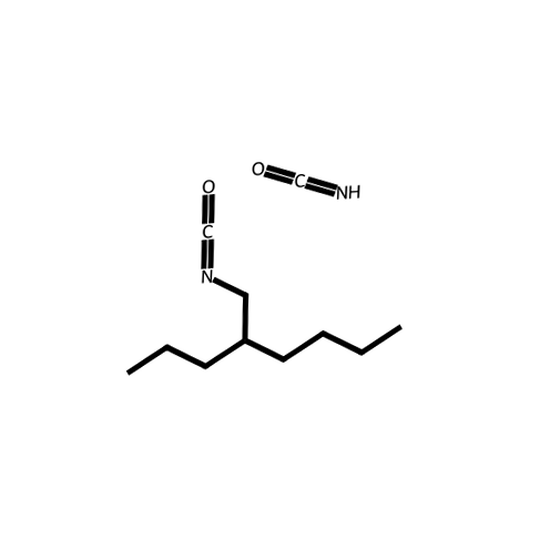 CCCCC(CCC)CN=C=O.N=C=O